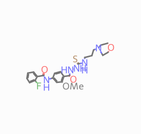 COc1cc(NC(=O)c2ccccc2F)ccc1C(=O)NNC(=S)NCCCN1CCOCC1